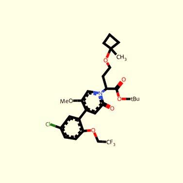 COc1cn(C(CCOC2(C)CCC2)C(=O)OC(C)(C)C)c(=O)cc1-c1cc(Cl)ccc1OCC(F)(F)F